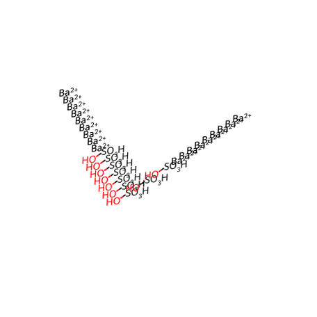 O=S(=O)(O)O.O=S(=O)(O)O.O=S(=O)(O)O.O=S(=O)(O)O.O=S(=O)(O)O.O=S(=O)(O)O.O=S(=O)(O)O.O=S(=O)(O)O.O=S(=O)(O)O.[Ba+2].[Ba+2].[Ba+2].[Ba+2].[Ba+2].[Ba+2].[Ba+2].[Ba+2].[Ba+2].[Ba+2].[Ba+2].[Ba+2].[Ba+2].[Ba+2].[Ba+2].[Ba+2].[Ba+2].[Ba+2]